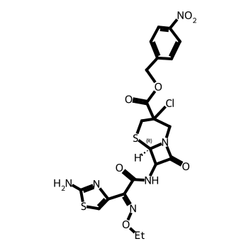 CCON=C(C(=O)NC1C(=O)N2CC(Cl)(C(=O)OCc3ccc([N+](=O)[O-])cc3)CS[C@H]12)c1csc(N)n1